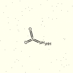 O=S(=O)=[SiH2].[HH]